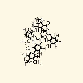 [2H]c1c([2H])c(CSc2nc(=O)c3c(n2CC(=O)N(CCN(C([2H])([2H])C)C([2H])([2H])C)Cc2c([2H])c([2H])c(-c4c([2H])c([2H])c(C(F)(F)F)c(C)c4[2H])c([2H])c2[2H])C([2H])([2H])C([2H])([2H])C3([2H])[2H])c([2H])c([2H])c1F